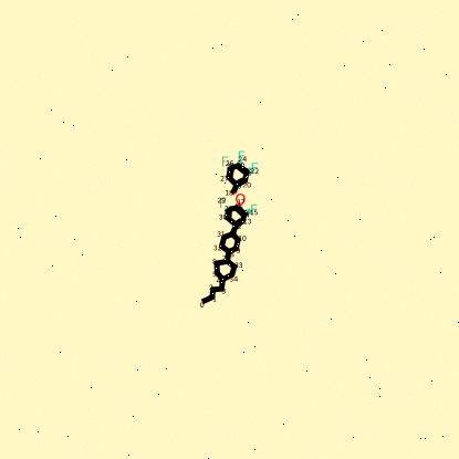 CCCCC1CCC(C2CCC(c3cc(F)c(OCc4cc(F)c(F)c(F)c4)c(F)c3)CC2)CC1